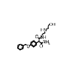 NC(=O)C(C(=O)NCCNCCO)c1ccc(OCc2ccccc2)cc1